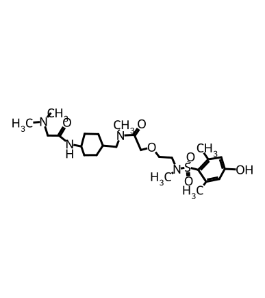 Cc1cc(O)cc(C)c1S(=O)(=O)N(C)CCOCC(=O)N(C)CC1CCC(NC(=O)CN(C)C)CC1